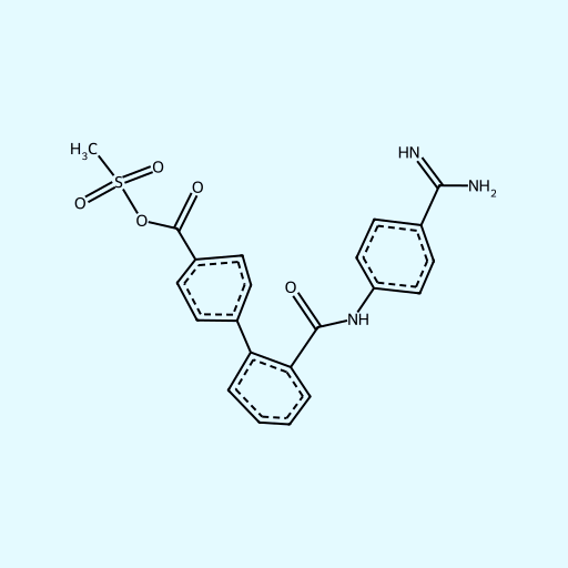 CS(=O)(=O)OC(=O)c1ccc(-c2ccccc2C(=O)Nc2ccc(C(=N)N)cc2)cc1